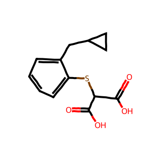 O=C(O)C(Sc1ccccc1CC1CC1)C(=O)O